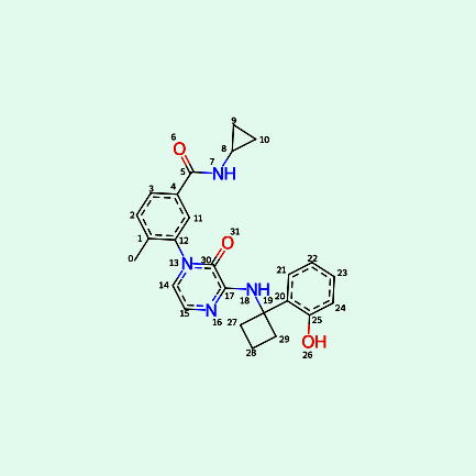 Cc1ccc(C(=O)NC2CC2)cc1-n1ccnc(NC2(c3ccccc3O)CCC2)c1=O